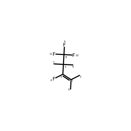 CC(C)=C(F)C(C)(C)C(F)(F)F